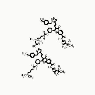 COc1ccc(Cn2nnnc2C=Cc2c(N3CCC[C@@H](OC(=O)NCCCN(C)C)C3)nc3cc(C(=O)Nc4nc(C(C)(C)C)cs4)ccn3c2=O)cc1.COc1ccc(Cn2nnnc2C=Cc2c(N3CCC[C@@H](OC(=O)NCCC[N+](C)(C)CC(=O)O)C3)nc3cc(C(=O)Nc4nc(C(C)(C)C)cs4)ccn3c2=O)cc1